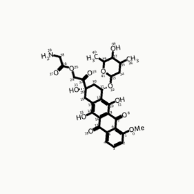 COc1cccc2c1C(=O)c1c(O)c3c(c(O)c1C2=O)C[C@@](O)(C(=O)COC(=O)CN)C[C@@H]3OC1CC(C)C(O)C(C)O1